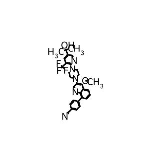 COc1c(N2CCN(c3ncc(C(C)(C)O)cc3C(F)(F)F)CC2)cnc2c(-c3ccc(C#N)cc3)cccc12